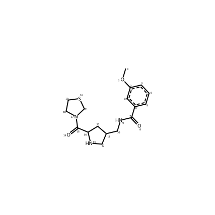 COc1cccc(C(=O)NCC2CNC(C(=O)N3CCSC3)C2)c1